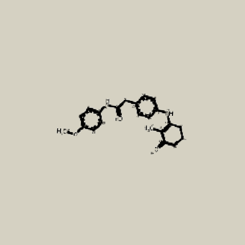 COc1ccc(NC(=O)Cc2ccc(NC3=C(C)C(=O)CCC3)cc2)cc1